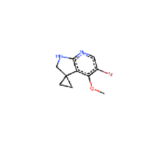 COc1c(Br)cnc2c1C1(CC1)CN2